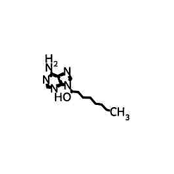 CCCCCCCC(O)n1cnc2c(N)ncnc21